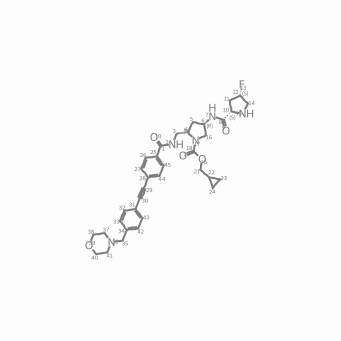 O=C(NC[C@H]1C[C@@H](NC(=O)[C@@H]2C[C@H](F)CN2)CN1C(=O)OCC1CC1)c1ccc(C#Cc2ccc(CN3CCOCC3)cc2)cc1